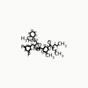 CCCN(CCC)C(=O)c1cc(C)cc(C(=O)OC(CNC2CCCCC2C)C(N)Cc2cc(F)cc(F)c2)c1